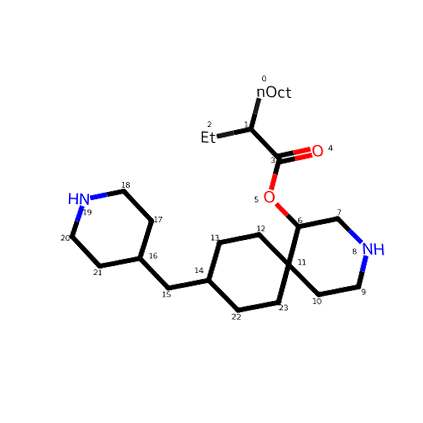 CCCCCCCCC(CC)C(=O)OC1CNCCC12CCC(CC1CCNCC1)CC2